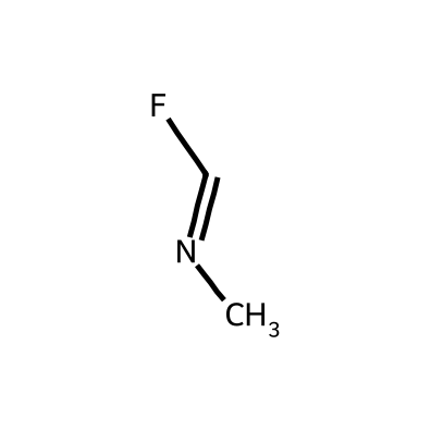 C/N=C/F